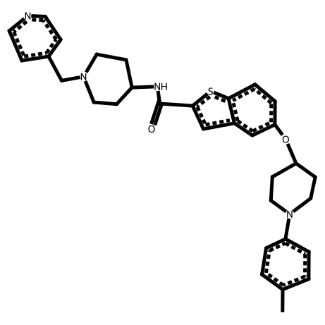 Cc1ccc(N2CCC(Oc3ccc4sc(C(=O)NC5CCN(Cc6ccncc6)CC5)cc4c3)CC2)cc1